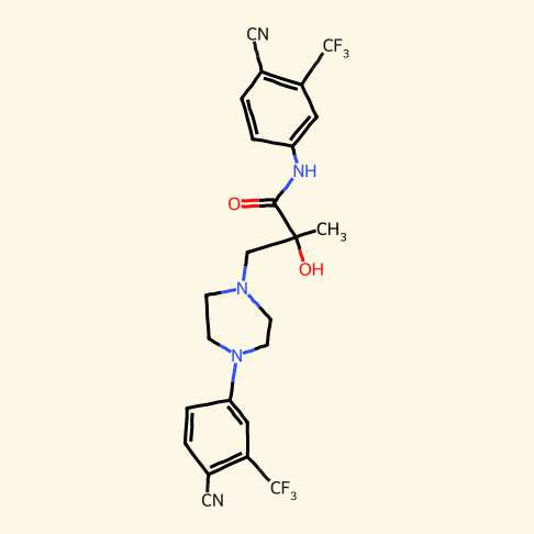 CC(O)(CN1CCN(c2ccc(C#N)c(C(F)(F)F)c2)CC1)C(=O)Nc1ccc(C#N)c(C(F)(F)F)c1